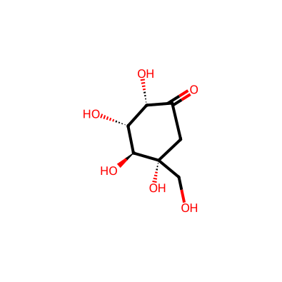 O=C1C[C@@](O)(CO)[C@@H](O)[C@H](O)[C@@H]1O